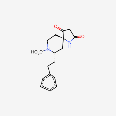 O=C1CC(=O)[C@]2(CCN(C(=O)O)[C@@H](CCc3ccccc3)C2)N1